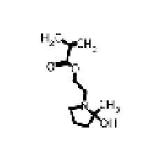 C=C(C)C(=O)OCCN1CCCC1(C)O